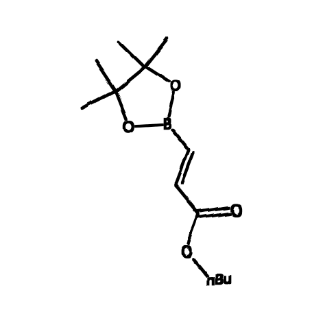 CCCCOC(=O)/C=C/B1OC(C)(C)C(C)(C)O1